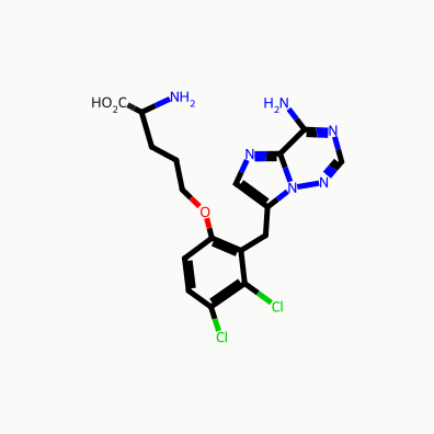 Nc1ncnn2c(Cc3c(OCCCC(N)C(=O)O)ccc(Cl)c3Cl)cnc12